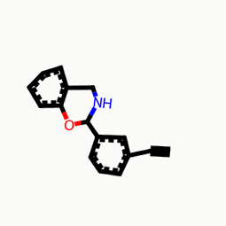 C#Cc1cccc(C2NCc3ccccc3O2)c1